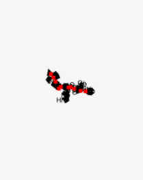 O=C(NS(=O)(=O)c1ccc(NCC2CCOCC2)c([N+](=O)[O-])c1)c1ccc(N2CCC3(CCC(N4CCC[C@H]4c4ccccc4C4CC4)CC3)C2)cc1Oc1cnc2[nH]ccc2c1